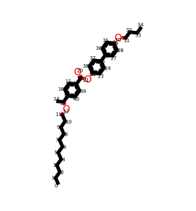 CCCCCCCCCCCCOC(C)c1ccc(C(=O)Oc2ccc(-c3ccc(OCCCC)cc3)cc2)cc1